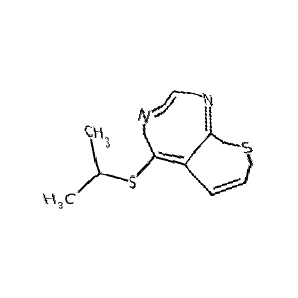 CC(C)Sc1ncnc2sccc12